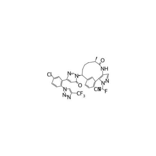 C[C@@H]1CCC[C@H](n2cnc(-c3cc(Cl)ccc3-n3cc(C(F)(F)F)nn3)cc2=O)c2ccc(C#N)c(c2)-c2c(cnn2C(F)F)NC1=O